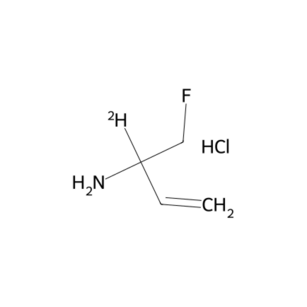 Cl.[2H]C(N)(C=C)CF